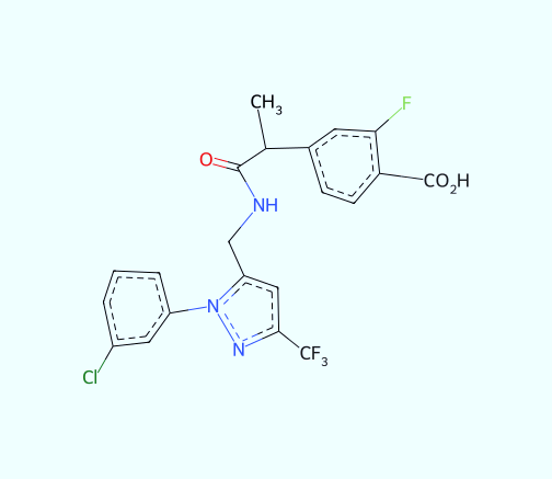 CC(C(=O)NCc1cc(C(F)(F)F)nn1-c1cccc(Cl)c1)c1ccc(C(=O)O)c(F)c1